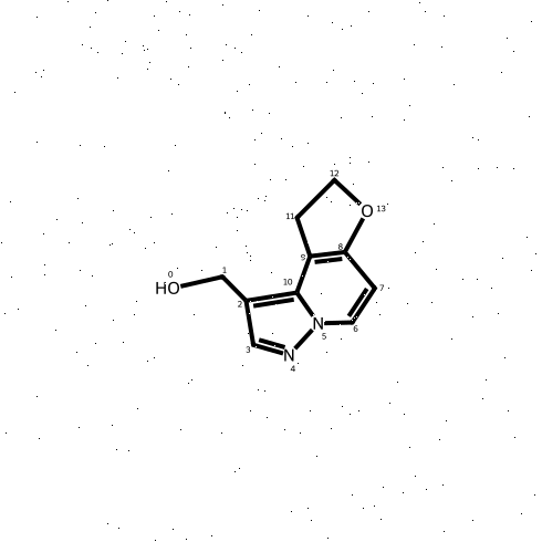 OCc1cnn2ccc3c(c12)CCO3